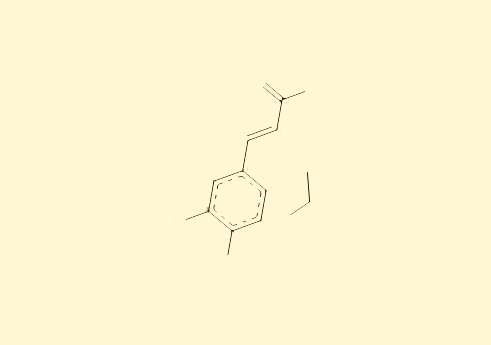 CCO.O=C(O)C=Cc1ccc(O)c(O)c1